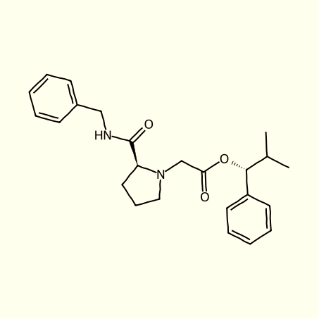 CC(C)[C@@H](OC(=O)CN1CCC[C@H]1C(=O)NCc1ccccc1)c1ccccc1